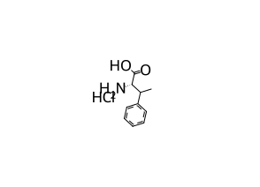 CC(c1ccccc1)[C@H](N)C(=O)O.Cl